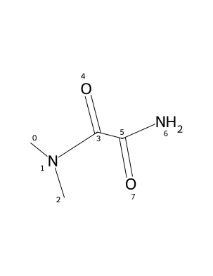 CN(C)C(=O)C(N)=O